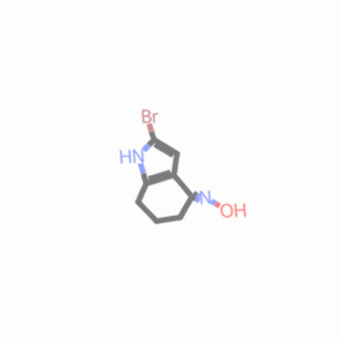 O/N=C1\CCCc2[nH]c(Br)cc21